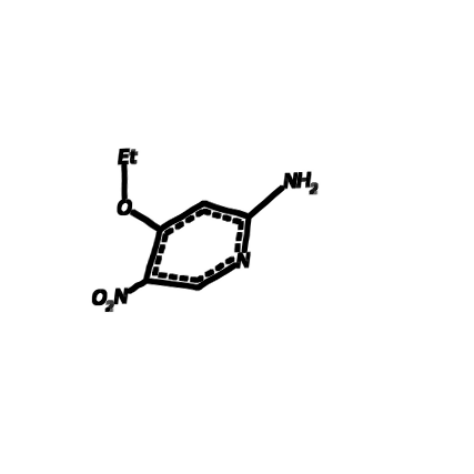 CCOc1cc(N)ncc1[N+](=O)[O-]